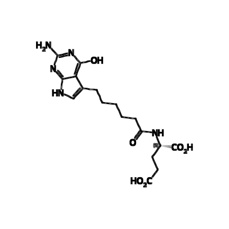 Nc1nc(O)c2c(CCCCCC(=O)N[C@@H](CCC(=O)O)C(=O)O)c[nH]c2n1